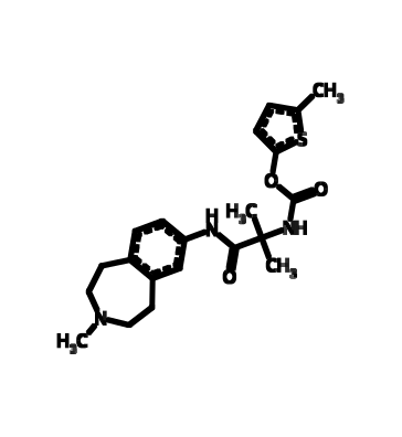 Cc1ccc(OC(=O)NC(C)(C)C(=O)Nc2ccc3c(c2)CCN(C)CC3)s1